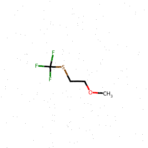 COCCSC(F)(F)F